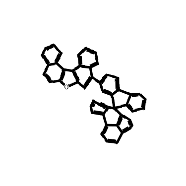 c1ccc2c(c1)-c1ccc(-c3cc4oc5ccc6ccccc6c5c4c4ccccc34)cc1C21c2ccccc2-c2cccc3cccc1c23